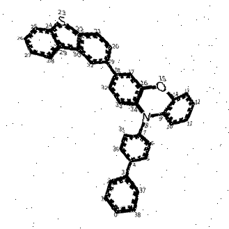 c1ccc(-c2ccc(N3c4ccccc4Oc4cc(-c5ccc6sc7ccccc7c6c5)ccc43)cc2)cc1